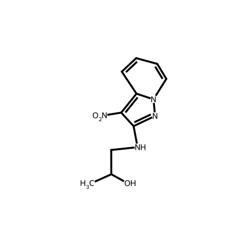 CC(O)CNc1nn2ccccc2c1[N+](=O)[O-]